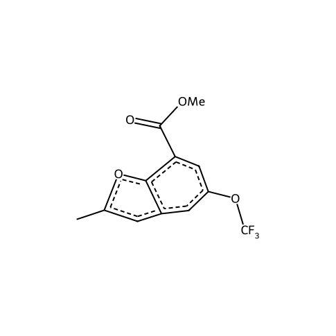 COC(=O)c1cc(OC(F)(F)F)cc2cc(C)oc12